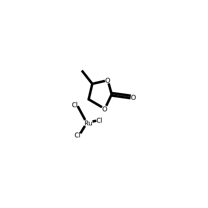 CC1COC(=O)O1.[Cl][Ru]([Cl])[Cl]